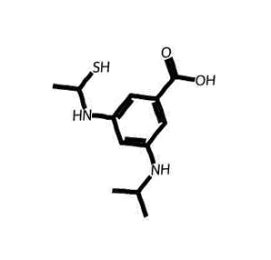 CC(C)Nc1cc(NC(C)S)cc(C(=O)O)c1